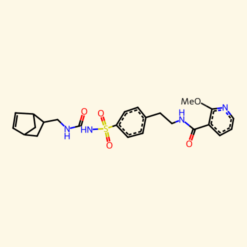 COc1ncccc1C(=O)NCCc1ccc(S(=O)(=O)NC(=O)NCC2CC3C=CC2C3)cc1